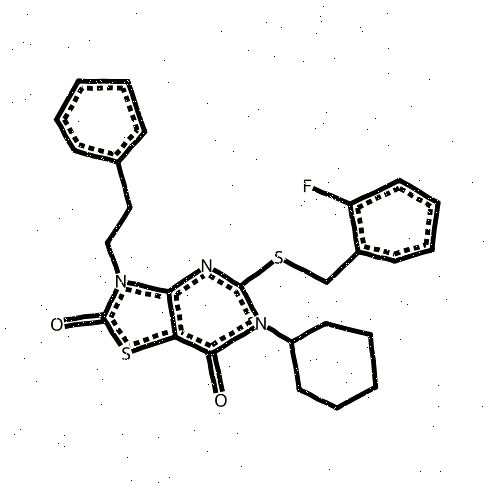 O=c1c2sc(=O)n(CCc3ccccc3)c2nc(SCc2ccccc2F)n1C1CCCCC1